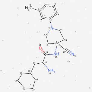 Cc1cccc(N2CCC(C#N)(NC(=O)C(N)CC3CCCCC3)CC2)c1